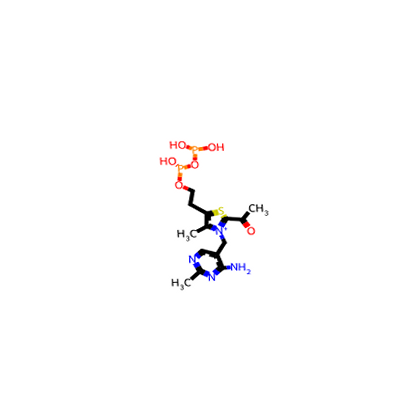 CC(=O)c1sc(CCOP(O)OP(O)O)c(C)[n+]1Cc1cnc(C)nc1N